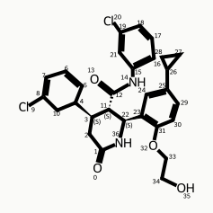 O=C1C[C@@H](C2C=CC=C(Cl)C2)[C@H](C(=O)Nc2cccc(Cl)c2)[C@@H](c2cc(C3CC3)ccc2OCCO)N1